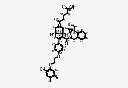 Cc1cc(Cl)c(OCCOc2ccc(C3=C(C(=O)N(Cc4ccccc4CCO)C4CC4)[C@H]4CN(C(=O)CCCC(=O)O)C[C@@H](C3)N4)cc2)cc1C